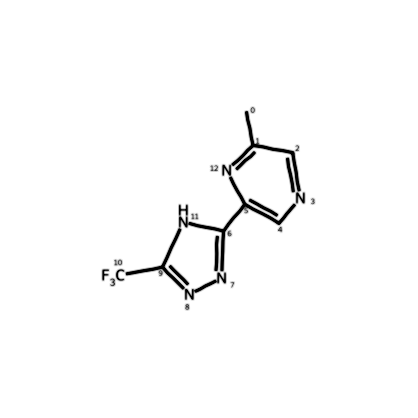 Cc1cncc(-c2nnc(C(F)(F)F)[nH]2)n1